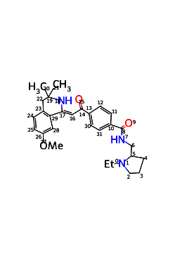 CCN1CCCC1CNC(=O)c1ccc(C(=O)C=C2NC(C)(C)Cc3ccc(OC)cc32)cc1